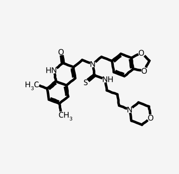 Cc1cc(C)c2[nH]c(=O)c(CN(Cc3ccc4c(c3)OCO4)C(=S)NCCCN3CCOCC3)cc2c1